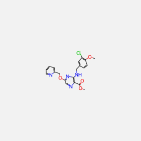 COC(=O)c1ncc(OCc2ccccn2)nc1NCc1ccc(OC)c(Cl)c1